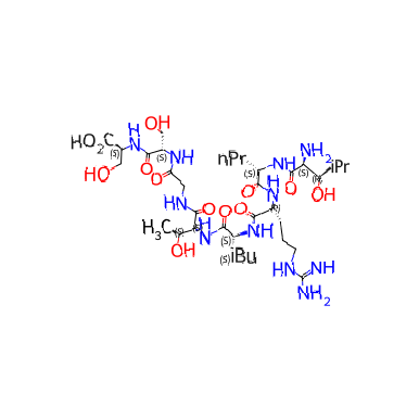 CCC[C@H](NC(=O)[C@@H](N)[C@H](O)C(C)C)C(=O)N[C@H](CCCNC(=N)N)C(=O)N[C@H](C(=O)N[C@H](C(=O)NCC(=O)N[C@@H](CO)C(=O)N[C@@H](CO)C(=O)O)[C@H](C)O)[C@@H](C)CC